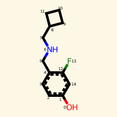 Oc1ccc(CNCC2CCC2)c(F)c1